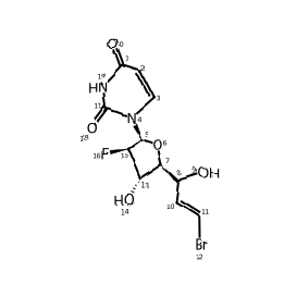 O=c1ccn([C@H]2O[C@@H](C(O)/C=C/Br)[C@H](O)[C@H]2F)c(=O)[nH]1